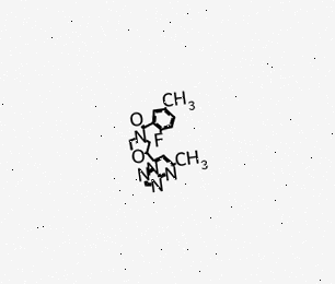 Cc1ccc(F)c(C(=O)N2CCOC(c3cc(C)nc4ncnn34)C2)c1